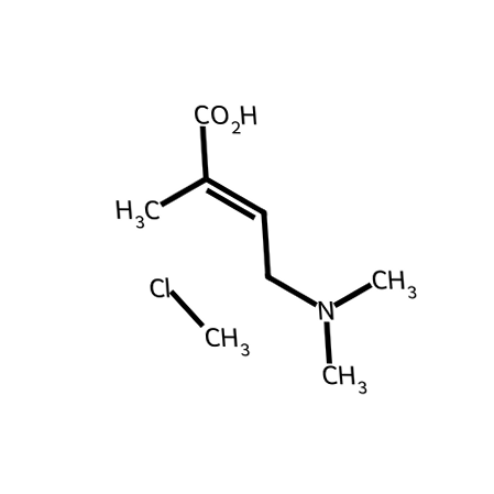 CC(=CCN(C)C)C(=O)O.CCl